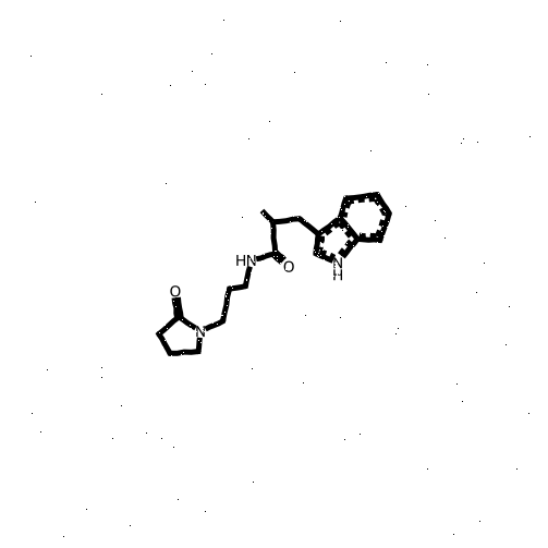 CC(Cc1c[nH]c2ccccc12)C(=O)NCCCN1CCCC1=O